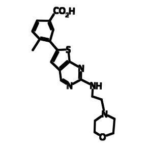 Cc1ccc(C(=O)O)cc1-c1cc2cnc(NCCN3CCOCC3)nc2s1